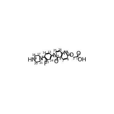 O=C(O)COc1ccc2c(=O)n(-c3ccc(N4CCNCC4)c(F)c3)ccc2n1